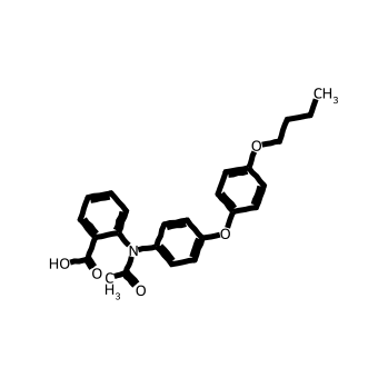 CCCCOc1ccc(Oc2ccc(N(C(C)=O)c3ccccc3C(=O)O)cc2)cc1